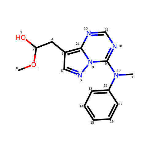 COC(O)Cc1cnn2c(N(C)c3ccccc3)ncnc12